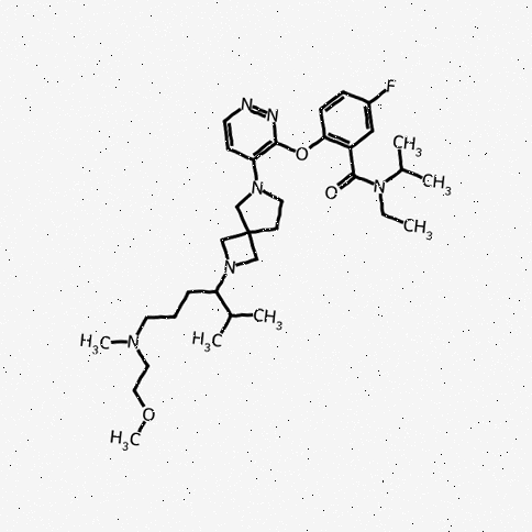 CCN(C(=O)c1cc(F)ccc1Oc1nnccc1N1CCC2(C1)CN(C(CCCN(C)CCOC)C(C)C)C2)C(C)C